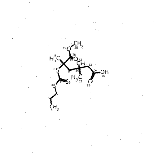 CCCSC(=S)SC(C)(CC(C)(C)CC(=O)O)C(=O)OC